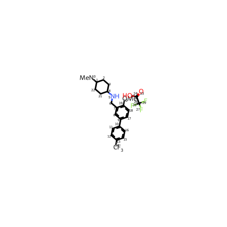 CNC1CCC(NCc2cc(-c3ccc(C(F)(F)F)cc3)ccc2OC)CC1.O=C(O)C(F)(F)F